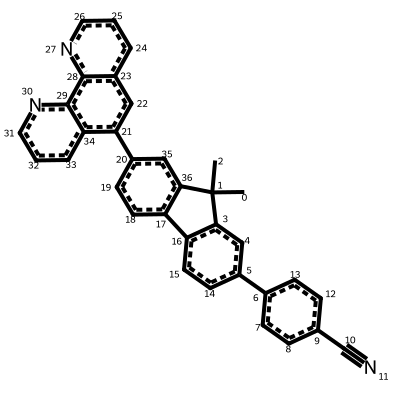 CC1(C)c2cc(-c3ccc(C#N)cc3)ccc2-c2ccc(-c3cc4cccnc4c4ncccc34)cc21